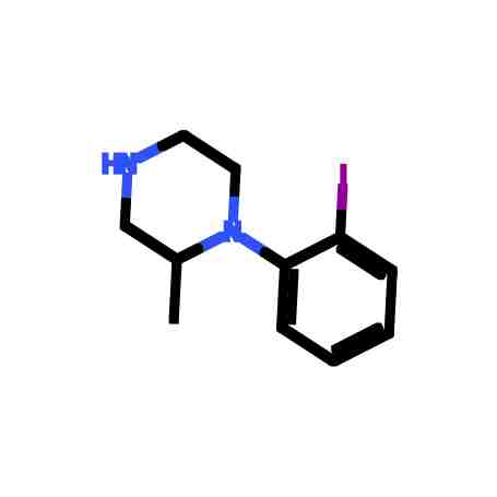 CC1CNCCN1c1ccccc1I